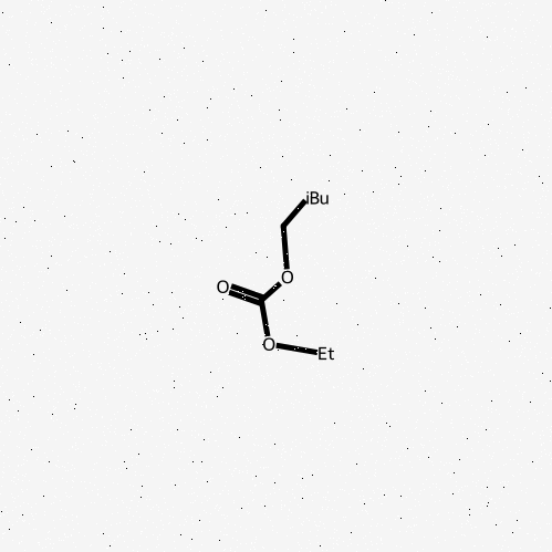 CCOC(=O)OCC(C)CC